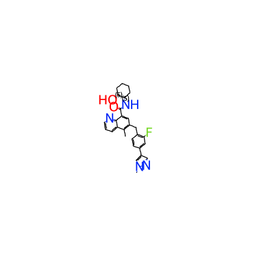 Cc1c(Cc2ccc(-c3cnn(C)c3)cc2F)cc(C(=O)N[C@H]2CCCC[C@@H]2O)c2ncccc12